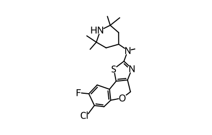 CN(c1nc2c(s1)-c1cc(F)c(Cl)cc1OC2)C1CC(C)(C)NC(C)(C)C1